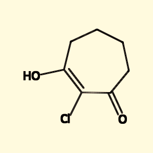 O=C1CCCCC(O)=C1Cl